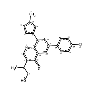 CC(CO)n1cnc2c(-c3cnn(C)c3)nc(-c3ccc(Cl)cc3)cc2c1=O